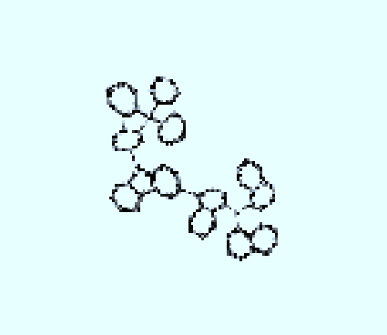 c1ccc(C2(c3ccccc3)c3ccccc3-c3ccc(-n4c5ccccc5c5cc(-c6ccc(N(c7cccc8ccccc78)c7cccc8ccccc78)c7ccccc67)ccc54)cc32)cc1